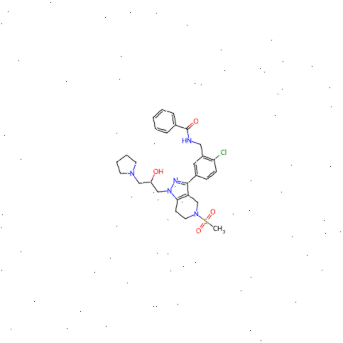 CS(=O)(=O)N1CCc2c(c(-c3ccc(Cl)c(CNC(=O)c4ccccc4)c3)nn2CC(O)CN2CCCC2)C1